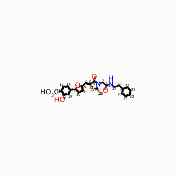 O=C(CN1C(=O)/C(=C/c2ccc(-c3ccc(C(=O)O)c(O)c3)o2)SC1=S)NCCc1ccccc1